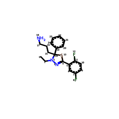 CCN1N=C(c2cc(F)ccc2F)SC1(CCCN)c1ccccc1